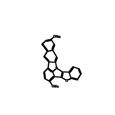 COc1ccc2cc3c4ccc(OC)c5c6oc7ccccc7c6n(c3cc2c1)c45